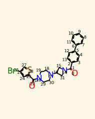 O=C(c1ccc(-c2ccccc2)cc1)N1CC(N2CCN(C(=O)c3cc(Br)cs3)CC2)C1